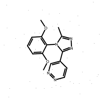 COc1cccc(OC)c1-n1c(C)nnc1-c1ccnnc1